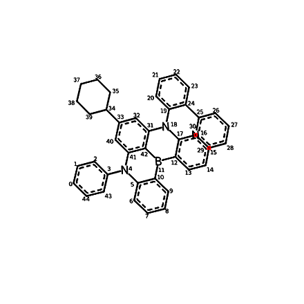 c1ccc(N2c3ccccc3B3c4ccccc4N(c4ccccc4-c4ccccn4)c4cc(C5CCCCC5)cc2c43)cc1